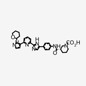 O=C(Nc1ccc(-c2cnc(-c3cccc(-c4ccnn4C4CCCCO4)n3)[nH]2)cc1)[C@H]1CCCN(C(=O)O)C1